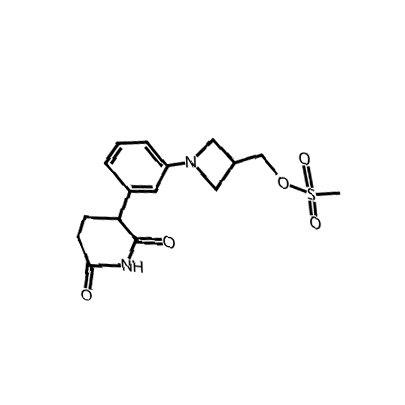 CS(=O)(=O)OCC1CN(c2cccc(C3CCC(=O)NC3=O)c2)C1